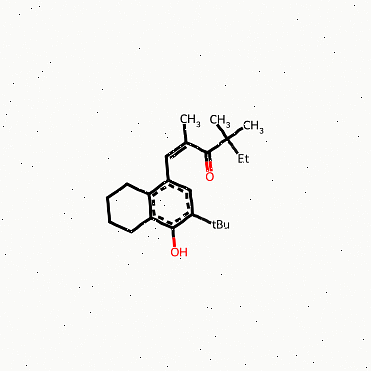 CCC(C)(C)C(=O)C(C)=Cc1cc(C(C)(C)C)c(O)c2c1CCCC2